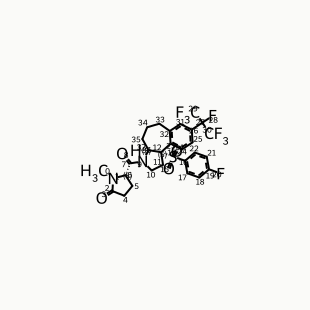 CN1C(=O)CC[C@H]1C(=O)N1CC[C@]2(S(=O)(=O)c3ccc(F)cc3)c3ccc(C(F)(C(F)(F)F)C(F)(F)F)cc3CCC[C@H]12